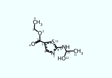 CCOC(=O)c1cnc(NC(C)O)s1